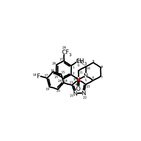 Cc1c(C(=O)N2C3CCC[C@@H]2Cn2c(-c4ccc(F)cc4)nnc23)cccc1C(F)(F)F